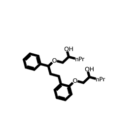 CCCC(O)COc1ccccc1CCC(OCC(O)CCC)c1ccccc1